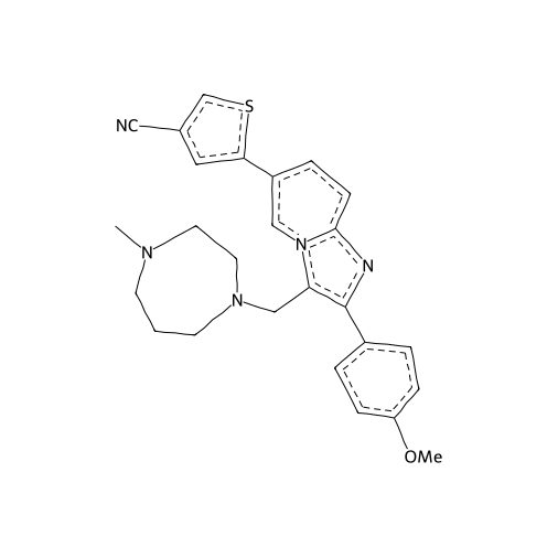 COc1ccc(-c2nc3ccc(-c4cc(C#N)cs4)cn3c2CN2CCCN(C)CC2)cc1